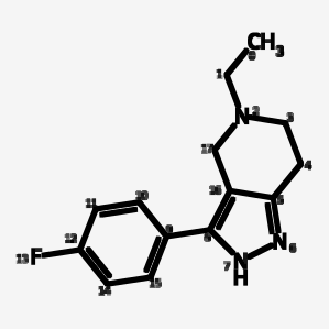 CCN1CCc2n[nH]c(-c3ccc(F)cc3)c2C1